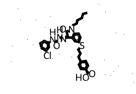 CCCCCCN1C(=O)C(=NNC(=O)Nc2cccc(Cl)c2)c2cc(SCCCc3ccc(C(=O)O)cc3)ccc21